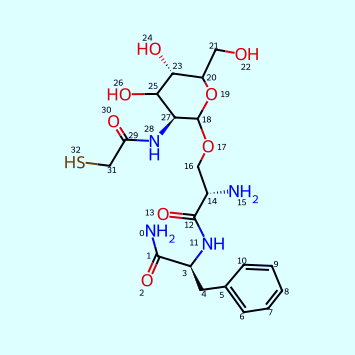 NC(=O)[C@H](Cc1ccccc1)NC(=O)[C@@H](N)COC1OC(CO)[C@@H](O)C(O)[C@@H]1NC(=O)CS